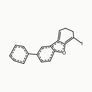 IC1=c2oc3ccc(-c4ccccc4)cc3c2=CCC1